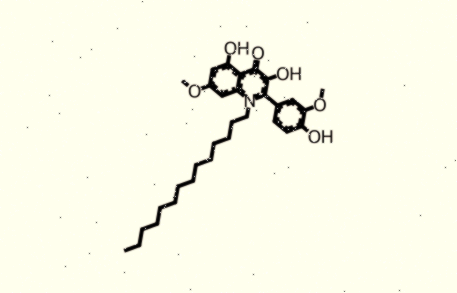 CCCCCCCCCCCCCCn1c(-c2ccc(O)c(OC)c2)c(O)c(=O)c2c(O)cc(OC)cc21